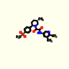 Cc1cc(NC(=O)C(=O)N2C[C@@H](C)CC[C@@H]2c2ccc(S(C)(=O)=O)cc2)cnc1C